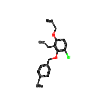 COCOc1ccc(Cl)c(OCc2ccc(OC)cc2)c1CC=O